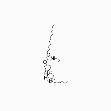 CCCCCCCCCCCCOCC(CN)O[C@H]1CC[C@@]2(C)C(=CC[C@H]3[C@@H]4CC[C@H]([C@H](C)CCCC(C)C)[C@@]4(C)CC[C@@H]32)C1